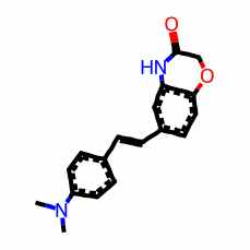 CN(C)c1ccc(C=Cc2ccc3c(c2)NC(=O)CO3)cc1